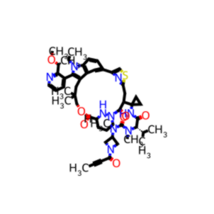 CC#CC(=O)N1CC(N(C)C(=O)N(C)[C@H](C(=O)NC2(C3Cc4nc(cs4)-c4ccc5c(c4)c(c(-c4cccnc4[C@H](C)OC)n5CC)CC(C)(C)COC(=O)[C@@H]4CCCN(N4)C3=O)CC2)C(C)C)C1